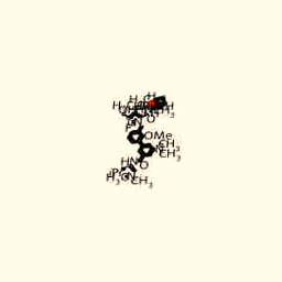 COc1c(-c2cc(C(=O)N[C@@H](CC(C)C)CN(C)C)cc(N(C)C)c2)ccc(F)c1CN1O[C@@H](CO)[C@@H]([C@H](C)O)[C@H]1C(=O)N[C@H]1C[C@H]2C[C@@H]([C@@H]1C)C2(C)C